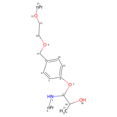 CCCNC(Oc1ccc(COCCOCCC)cc1)C(C)O